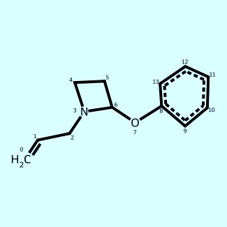 C=CCN1CCC1Oc1ccccc1